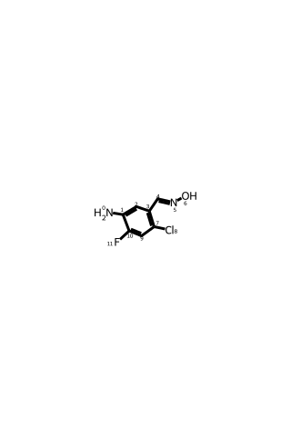 Nc1cc(/C=N/O)c(Cl)cc1F